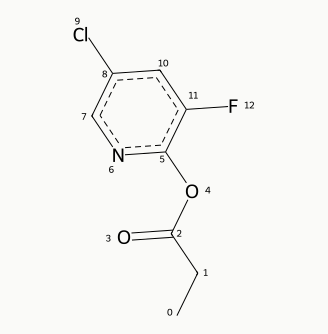 CCC(=O)Oc1ncc(Cl)cc1F